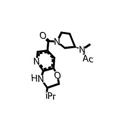 CC(=O)N(C)[C@H]1CCN(C(=O)c2cnc3c(c2)OCC(C(C)C)N3)C1